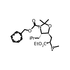 CCOC(=O)[C@@H](C[C@@H]1OC(C)(C)N(C(=O)OCc2ccccc2)[C@H]1CC(C)C)N(C)C